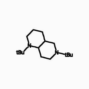 CC(C)(C)N1CCC2C(CCCN2C(C)(C)C)C1